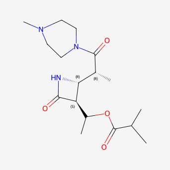 CC(C)C(=O)OC(C)[C@H]1C(=O)N[C@@H]1[C@@H](C)C(=O)N1CCN(C)CC1